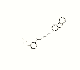 CN(C)S(=O)(=O)Nc1cc(C(O)CNCCOc2ccc3c(c2)sc2ccccc23)ccc1O.Cl